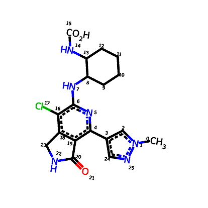 Cn1cc(-c2nc(NC3CCCCC3NC(=O)O)c(Cl)c3c2C(=O)NC3)cn1